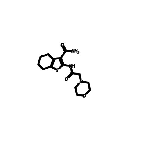 NC(=O)c1c(NC(=O)CN2CCOCC2)sc2c1CCCC2